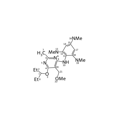 CCC(CC)Oc1nc(C)nc(Nc2c(NC)cc(NC)cc2NC)c1COC